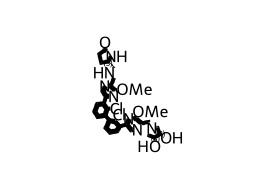 COc1nc(-c2cccc(-c3cccc(-c4cnc(CN5C[C@@H](O)[C@@H](O)C5)c(OC)n4)c3Cl)c2Cl)cnc1CNC[C@@H]1CCC(=O)N1